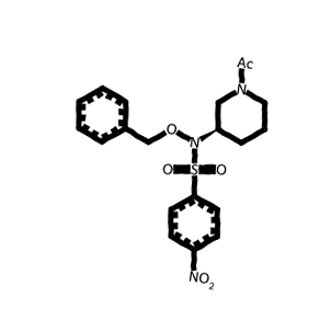 CC(=O)N1CCC[C@@H](N(OCc2ccccc2)S(=O)(=O)c2ccc([N+](=O)[O-])cc2)C1